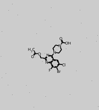 CC(=O)OCc1nc(N2CCN(C(=O)O)CC2)c2cc(Cl)c(Br)c(F)c2n1